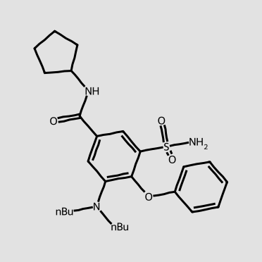 CCCCN(CCCC)c1cc(C(=O)NC2CCCC2)cc(S(N)(=O)=O)c1Oc1ccccc1